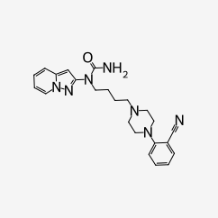 N#Cc1ccccc1N1CCN(CCCCN(C(N)=O)c2cc3ccccn3n2)CC1